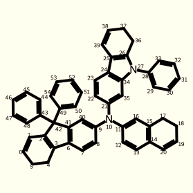 C1=CC2=C(CC1)c1ccc(N(c3ccc4c(c3)CCC=C4)c3ccc4c5c(n(-c6ccccc6)c4c3)CCC=C5)cc1C2(c1ccccc1)c1ccccc1